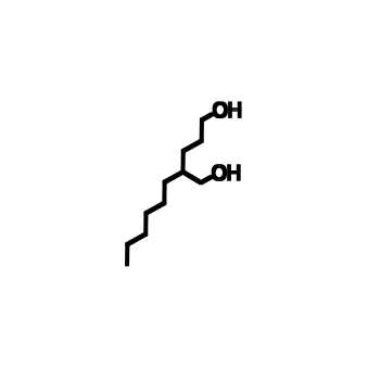 CCCCCCC(CO)CCCO